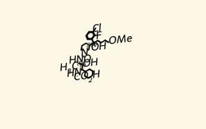 COCCCC[C@@](O)(c1cccc(Cl)c1F)[C@@H]1CCCN(C(=O)N[C@@H](C)[C@@H](O)C(NC(=O)O)C2CCCCC2)C1